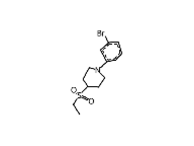 CCS(=O)(=O)C1CCN(c2cccc(Br)c2)CC1